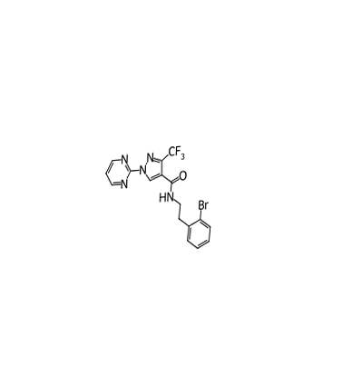 O=C(NCCc1ccccc1Br)c1cn(-c2ncccn2)nc1C(F)(F)F